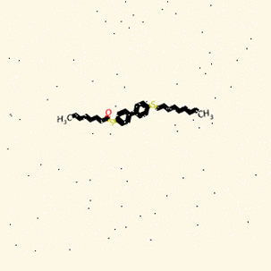 CCCCCCCCCSc1ccc(-c2ccc(SC(=O)CCCCCCC)cc2)cc1